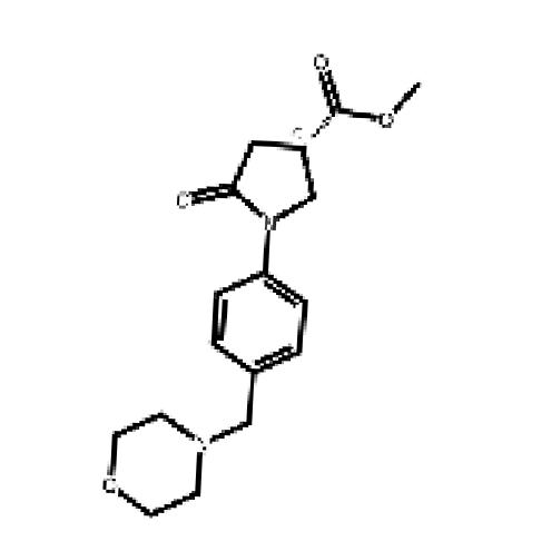 COC(=O)[C@H]1CC(=O)N(c2ccc(CN3CCOCC3)cc2)C1